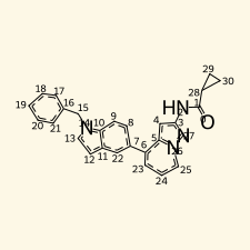 O=C(Nc1cc2c(-c3ccc4c(ccn4Cc4ccccc4)c3)cccn2n1)C1CC1